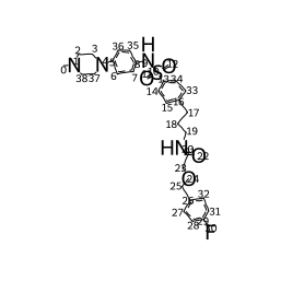 CN1CCN(c2ccc(NS(=O)(=O)c3ccc(CCCNC(=O)COCc4ccc(F)cc4)cc3)cc2)CC1